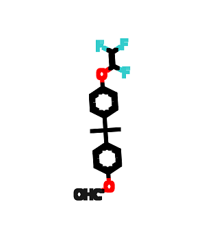 CC(C)(c1ccc(OC=O)cc1)c1ccc(OC(F)=C(F)F)cc1